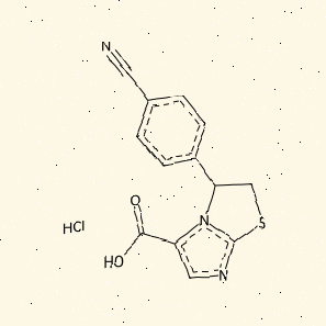 Cl.N#Cc1ccc(C2CSc3ncc(C(=O)O)n32)cc1